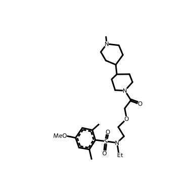 CCN(CCOCC(=O)N1CCC(C2CCN(C)CC2)CC1)S(=O)(=O)c1c(C)cc(OC)cc1C